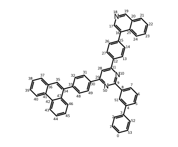 c1ccc(-c2cccc(-c3nc(-c4ccc(-c5cncc6ccccc56)cc4)cc(-c4ccc(-c5cc6ccccc6c6ccccc56)cc4)n3)c2)cc1